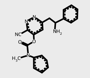 CN(C(=O)Oc1cc(CC(N)c2ccccc2)nnc1C#N)c1ccccc1